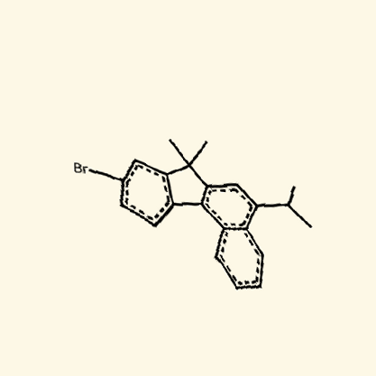 CC(C)c1cc2c(c3ccccc13)-c1ccc(Br)cc1C2(C)C